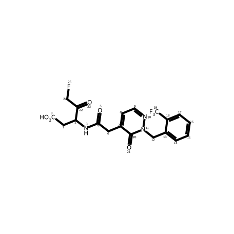 O=C(O)CC(NC(=O)Cc1ccnn(Cc2ccccc2C(F)(F)F)c1=O)C(=O)CF